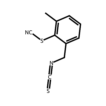 Cc1cccc(CN=C=S)c1SC#N